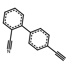 C#Cc1ccc(-c2ccccc2C#N)cc1